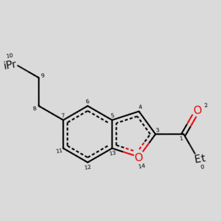 CCC(=O)c1cc2cc(CCC(C)C)ccc2o1